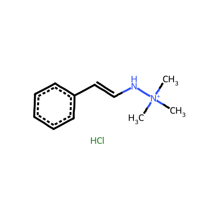 C[N+](C)(C)NC=Cc1ccccc1.Cl